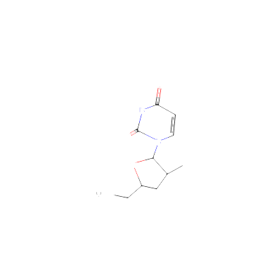 COCC1CC(C)C(n2ccc(=O)[nH]c2=O)O1